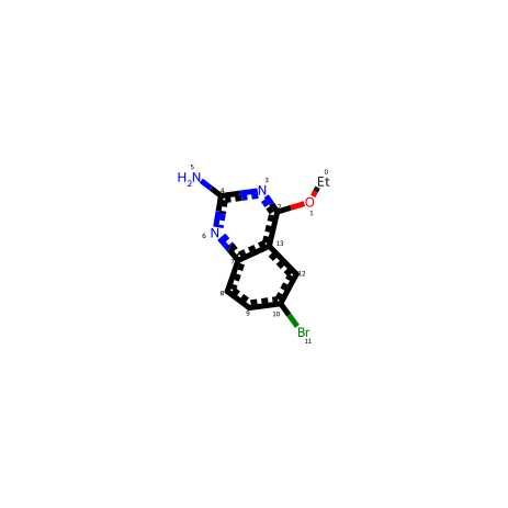 CCOc1nc(N)nc2ccc(Br)cc12